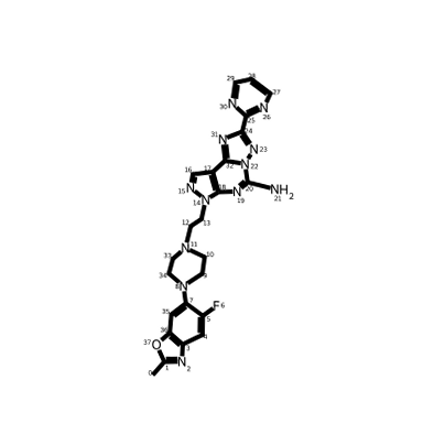 Cc1nc2cc(F)c(N3CCN(CCn4ncc5c4nc(N)n4nc(-c6ncccn6)nc54)CC3)cc2o1